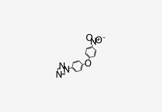 O=[N+]([O-])c1ccc(Oc2ccc(-n3cncn3)cc2)cc1